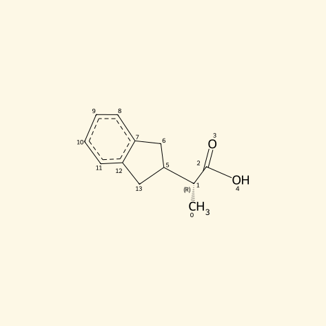 C[C@@H](C(=O)O)C1Cc2ccccc2C1